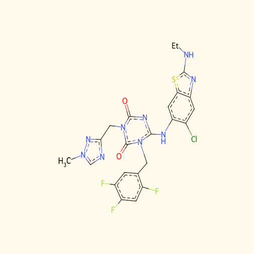 CCNc1nc2cc(Cl)c(Nc3nc(=O)n(Cc4ncn(C)n4)c(=O)n3Cc3cc(F)c(F)cc3F)cc2s1